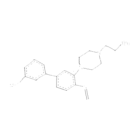 C=Nc1ccc(-c2cccc(SC)c2)cc1N1CCN(CCC(C)(C)C)CC1